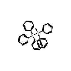 C[Si](c1ccccc1)(c1ccccc1)[Si](c1ccccc1)(c1ccccc1)c1ccccc1